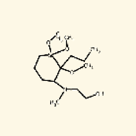 CCCC1(OC)C(N(C)CCO)CCC[Si]1(OC)OC